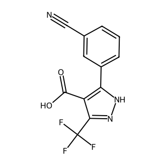 N#Cc1cccc(-c2[nH]nc(C(F)(F)F)c2C(=O)O)c1